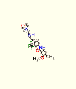 COc1cc(C(=O)Nc2ccc(C#CCNCCN3CCOCC3)c(C(F)(F)F)c2)ccc1C